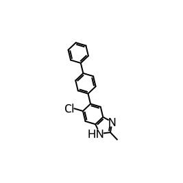 Cc1nc2cc(-c3ccc(-c4ccccc4)cc3)c(Cl)cc2[nH]1